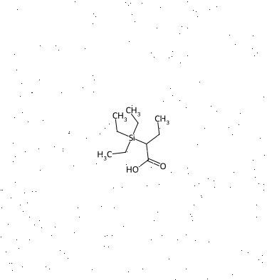 CCC(C(=O)O)[Si](CC)(CC)CC